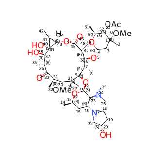 CO[C@]1(C)C[C@H](O[C@H]2[C@H](C)[C@@H](O[C@@H]3O[C@H](C)C[C@@H](N4CC[C@H](O)C4)[C@@H]3N(C)C)[C@@](C)(OC)C[C@@H](C)C(=O)[C@H](C)[C@@H](O)[C@@]3(O)C(C)[C@H]3OC(=O)[C@@H]2C)O[C@@H](C)[C@@H]1OC(C)=O